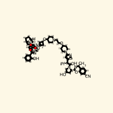 CC(C)[C@H](C(=O)N1C[C@H](O)C[C@H]1C(=O)N[C@@H](C)c1ccc(C#N)cc1)c1cc(N2CCC(OCCN3CCC(OC4CC(Oc5cc(N6C7CC[C@@H]6CN(c6cc(-c8ccccc8O)nnc6N)C7)ccn5)C4)CC3)CC2)no1